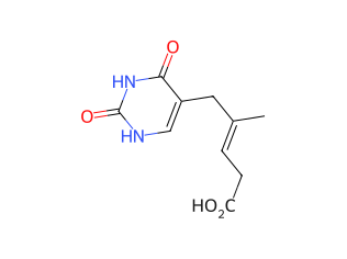 CC(=CCC(=O)O)Cc1c[nH]c(=O)[nH]c1=O